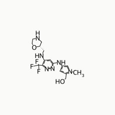 Cn1cc(Nc2cc(NC[C@H]3CNCCO3)c(C(F)(F)F)nn2)cc1CO